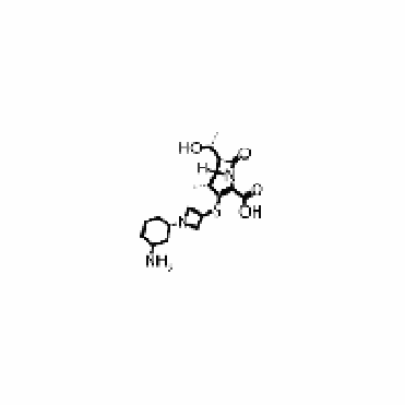 C[C@@H](O)[C@H]1C(=O)N2C(C(=O)O)=C(SC3CN([C@H]4CCC[C@H](N)C4)C3)[C@H](C)[C@H]12